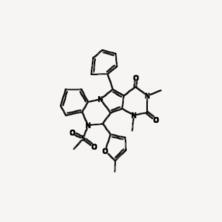 Cc1ccc(C2c3c4c(c(-c5ccccc5)n3-c3ccccc3N2S(C)(=O)=O)c(=O)n(C)c(=O)n4C)o1